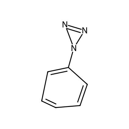 c1ccc(N2N=N2)cc1